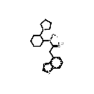 CN(C(=O)Cc1cccc2sccc12)C1CCCCC1N1CCCC1.Cl